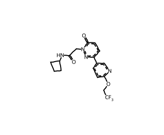 O=C(Cn1nc(-c2ccc(OCC(F)(F)F)nc2)ccc1=O)NC1CCC1